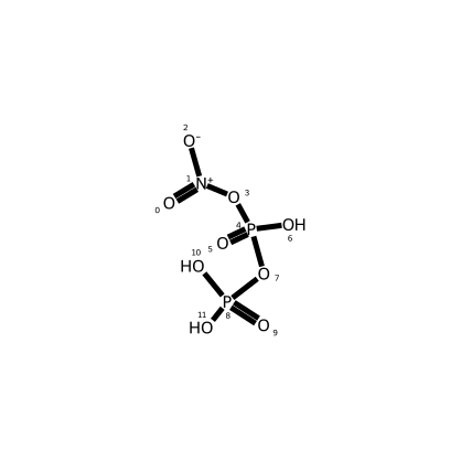 O=[N+]([O-])OP(=O)(O)OP(=O)(O)O